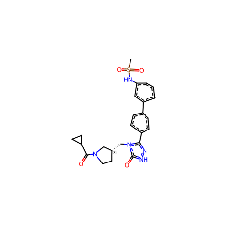 CS(=O)(=O)Nc1cccc(-c2ccc(-c3n[nH]c(=O)n3C[C@@H]3CCN(C(=O)C4CC4)C3)cc2)c1